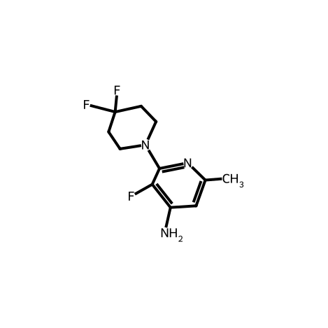 Cc1cc(N)c(F)c(N2CCC(F)(F)CC2)n1